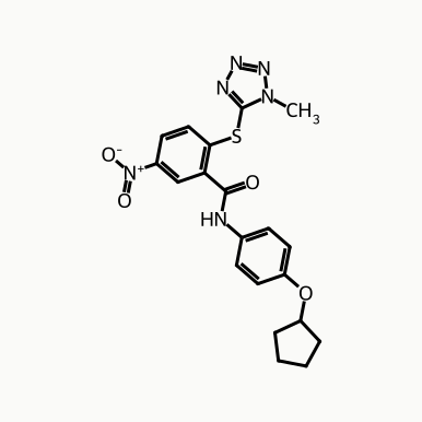 Cn1nnnc1Sc1ccc([N+](=O)[O-])cc1C(=O)Nc1ccc(OC2CCCC2)cc1